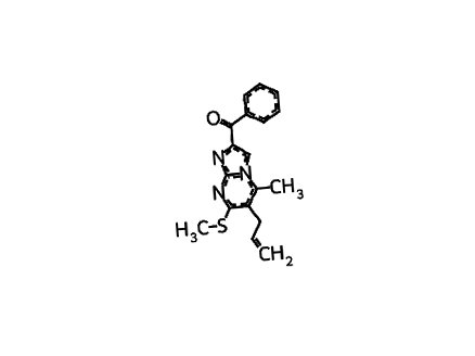 C=CCc1c(SC)nc2nc(C(=O)c3ccccc3)cn2c1C